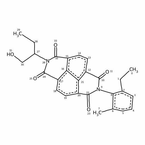 CCc1cccc(C)c1N1C(=O)c2ccc3c4c(ccc(c24)C1=O)C(=O)N(C(CC)CO)C3=O